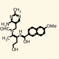 COc1ccc2cc(/C(O)=[SH]/C(CCO)=C(/C)N(C=O)Cc3cnc(C)nc3N)ccc2c1